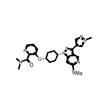 CNc1cc2c(cn1)c(-c1cnn(C)c1)nn2[C@H]1CC[C@@H](Oc2cccnc2C(=O)N(C)C)CC1